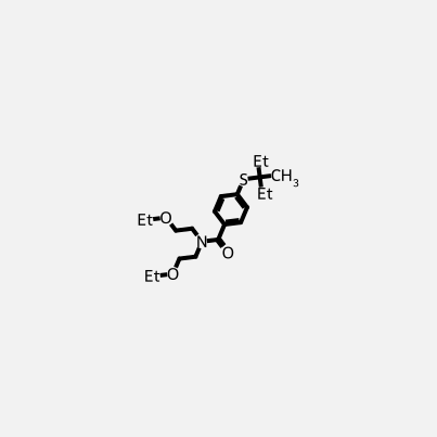 CCOCCN(CCOCC)C(=O)c1ccc(SC(C)(CC)CC)cc1